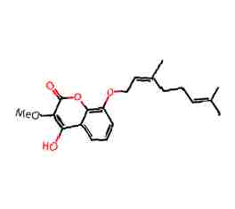 COc1c(O)c2cccc(OCC=C(C)CCC=C(C)C)c2oc1=O